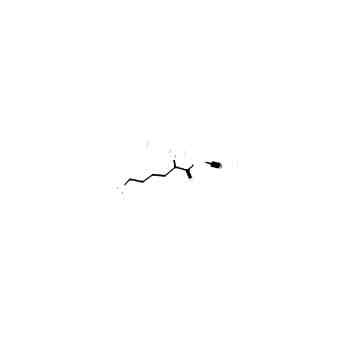 C#COC(=O)C(N)CCCCN.Cl